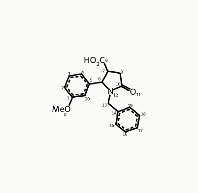 COc1cccc(C2C(C(=O)O)CC(=O)N2Cc2ccccc2)c1